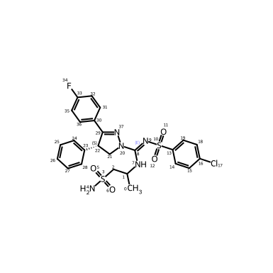 CC(CS(N)(=O)=O)N/C(=N\S(=O)(=O)c1ccc(Cl)cc1)N1C[C@H](c2ccccc2)C(c2ccc(F)cc2)=N1